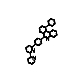 c1ccc(-c2cccc3c(-c4ccc(-c5cccc(-c6ccccn6)n5)cc4)nc4ccccc4c23)cc1